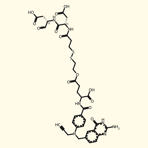 C#CCN(Cc1ccc2nc(N)[nH]c(=O)c2c1)c1ccc(C(=O)NC(CCC(=O)OCCSSCCC(=O)N[C@@H](CC(=O)O)C(=O)N[C@H](C=O)CC(=O)O)C(=O)O)cc1